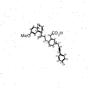 COc1ccc2nccc([C@H](F)CC[C@@H]3CCN(CC#Cc4ccc(C)cc4)C[C@@H]3CC(=O)O)c2c1